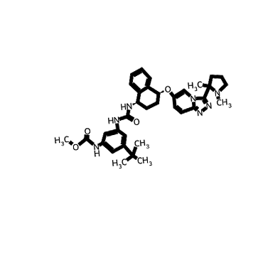 COC(=O)Nc1cc(NC(=O)N[C@H]2CC[C@@H](Oc3ccc4nnc(C5(C)CCCN5C)n4c3)c3ccccc32)cc(C(C)(C)C)c1